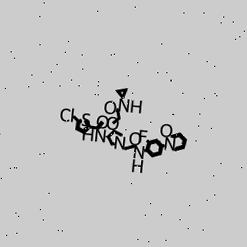 O=C(CN1C[C@H](NC(=O)c2ccc(Cl)s2)[C@@H](OCC(=O)NC2CC2)C1)Nc1ccc(-n2ccccc2=O)cc1F